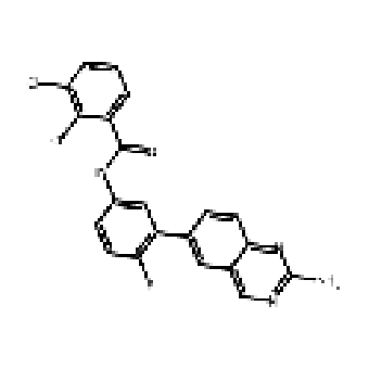 Nc1ncc2cc(-c3cc(NC(=O)c4cccc(Cl)c4Cl)ccc3F)ccc2n1